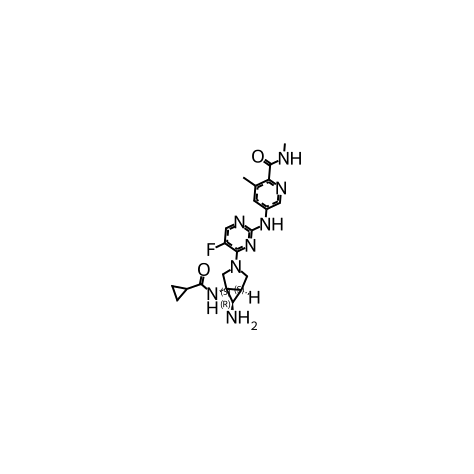 CNC(=O)c1ncc(Nc2ncc(F)c(N3C[C@H]4[C@@H](N)[C@@]4(NC(=O)C4CC4)C3)n2)cc1C